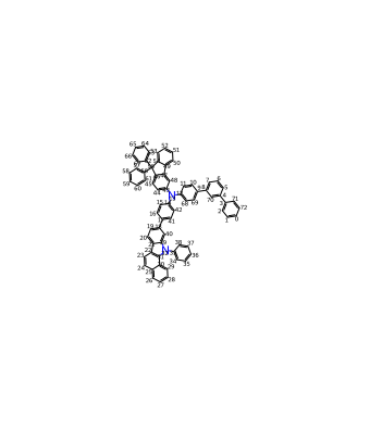 c1ccc(-c2cccc(-c3ccc(N(c4ccc(-c5ccc6c7ccc8ccccc8c7n(-c7ccccc7)c6c5)cc4)c4ccc5c(c4)-c4ccccc4C5(c4ccccc4)c4ccccc4)cc3)c2)cc1